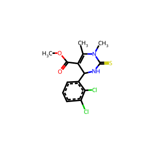 COC(=O)C1=C(C)N(C)C(=S)NC1c1cccc(Cl)c1Cl